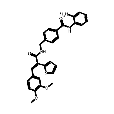 COc1ccc(C=C(C(=O)NCc2ccc(C(=O)Nc3ccccc3N)cc2)c2cccs2)cc1OC